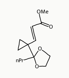 CCCC1(C2(C=CC(=O)OC)CC2)OCCO1